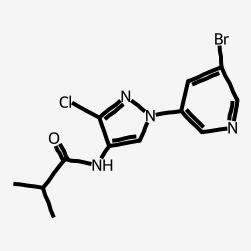 CC(C)C(=O)Nc1cn(-c2cncc(Br)c2)nc1Cl